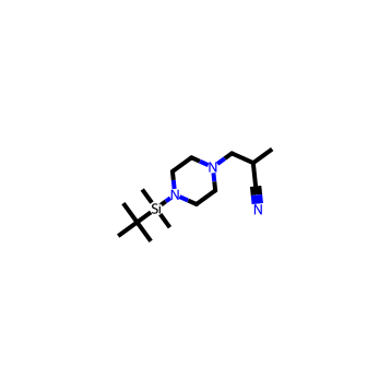 CC(C#N)CN1CCN([Si](C)(C)C(C)(C)C)CC1